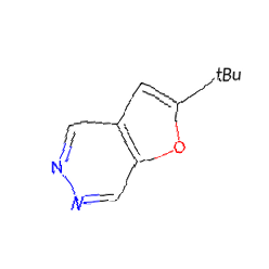 CC(C)(C)c1cc2cnncc2o1